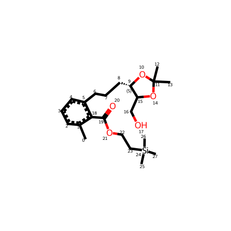 Cc1cccc(CCC[C@@H]2OC(C)(C)OC2CO)c1C(=O)OCC[Si](C)(C)C